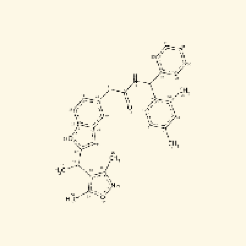 Cc1ccc(C(NC(=O)Cc2ccc3oc(C(C)c4c(C)noc4C)cc3c2)c2ccccc2)c(C)c1